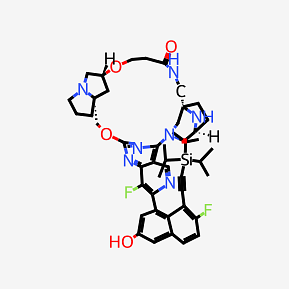 CC(C)[Si](C#Cc1c(F)ccc2cc(O)cc(-c3ncc4c5nc(nc4c3F)OC[C@]34CCCN3C[C@@H](C4)OCCC(=O)NC[C@@]34CC[C@@H](CN5C3)N4)c12)(C(C)C)C(C)C